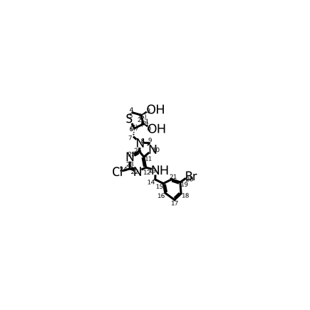 O[C@@H]1[C@H](O)CS[C@H]1Cn1cnc2c(NCc3cccc(Br)c3)nc(Cl)nc21